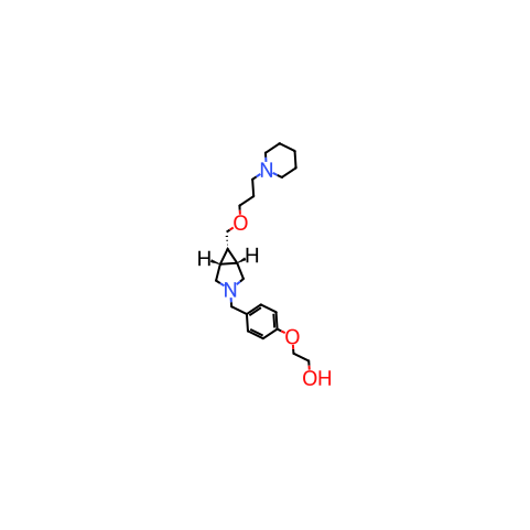 OCCOc1ccc(CN2C[C@@H]3[C@H](COCCCN4CCCCC4)[C@@H]3C2)cc1